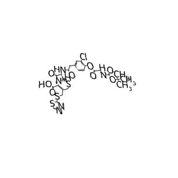 CC(C)(C)OC(=O)NCC(=O)Oc1ccc(CC(=O)NC2C(=O)N3C(C(=O)O)=C(CSc4nncs4)CS[C@@H]23)cc1Cl